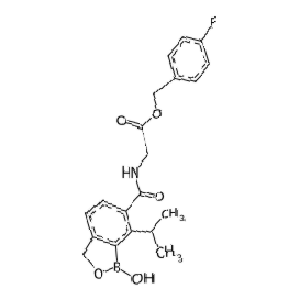 CC(C)c1c(C(=O)NCC(=O)OCc2ccc(F)cc2)ccc2c1B(O)OC2